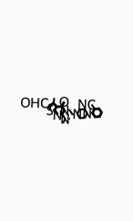 Cc1c(C=O)sc2nc(N(C)C)n(CCN3CCN(c4ccccc4C#N)CC3)c(=O)c12